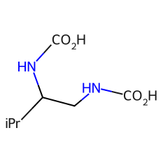 CC(C)C(CNC(=O)O)NC(=O)O